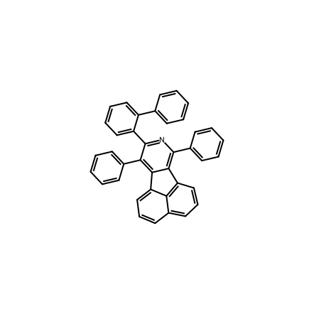 c1ccc(-c2ccccc2-c2nc(-c3ccccc3)c3c(c2-c2ccccc2)-c2cccc4cccc-3c24)cc1